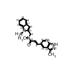 Cc1n[nH]c2ncc(/C=C/C(=O)N(C)Cc3cc4ccccc4n3C)cc12